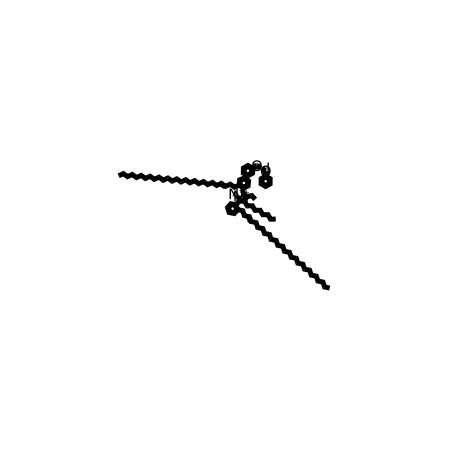 CCCCCCCCCCCCCCCCCCCCCCCC=CCCc1ccccc1C1=C(CC)C(CCCCCCCC)=C(c2ccccc2CCC=CCCCCCCCCCCCCCCCCCCCCCCC)[N+]1=[N-].c1ccc([O][Pd][O]c2ccccc2)cc1